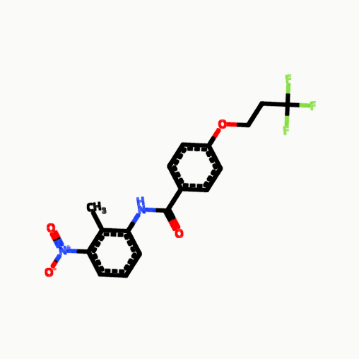 Cc1c(NC(=O)c2ccc(OCCC(F)(F)F)cc2)cccc1[N+](=O)[O-]